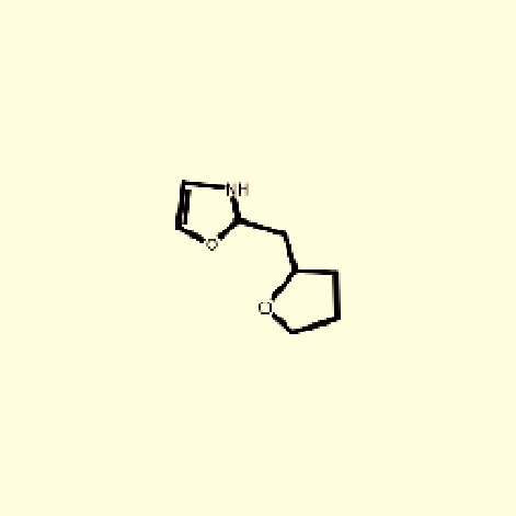 C1=CO[C](CC2CCCO2)N1